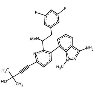 CNC(Cc1cc(F)cc(F)c1)c1nc(C#CC(C)(C)O)ccc1-c1cccc2c(N)nn(C)c12